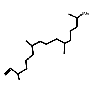 [CH]=CC(C)CCCC(C)CCCC(C)CCCC(C)SC